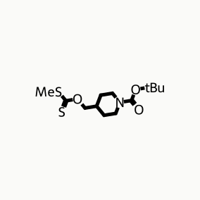 CSC(=S)OCC1CCN(C(=O)OC(C)(C)C)CC1